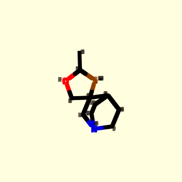 CC1OCC2(CN3CCC2CC3)S1